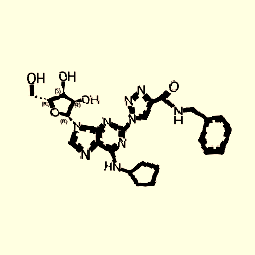 O=C(NCc1ccccc1)c1cn(-c2nc(NC3CCCC3)c3ncn([C@@H]4O[C@H](CO)[C@@H](O)[C@H]4O)c3n2)nn1